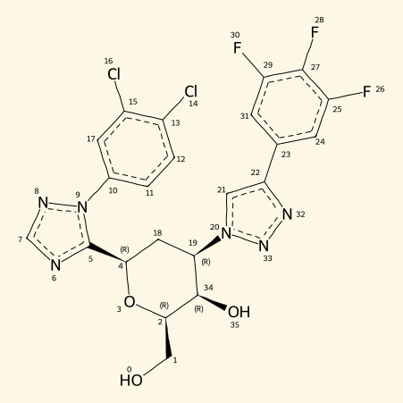 OC[C@H]1O[C@@H](c2ncnn2-c2ccc(Cl)c(Cl)c2)C[C@@H](n2cc(-c3cc(F)c(F)c(F)c3)nn2)[C@H]1O